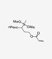 C=CC(=O)OCCC(CCCCC)[Si](C)(OC)OC